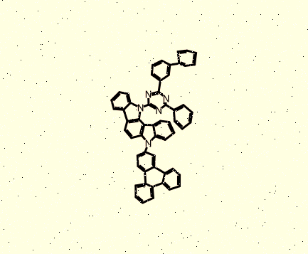 c1ccc(-c2cccc(-c3nc(-c4ccccc4)nc(-n4c5ccccc5c5ccc6c(c7ccccc7n6-c6ccc7c8ccccc8c8ccccc8c7c6)c54)n3)c2)cc1